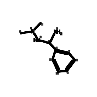 CN(C)NC(N)c1ccccc1